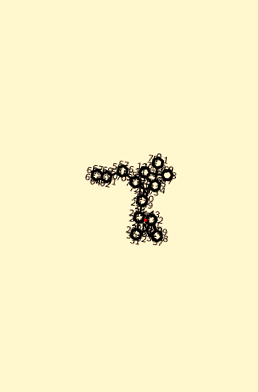 c1ccc(C2(c3ccccc3)c3ccccc3-c3c(N(c4ccc(-c5ccc(-c6ccccc6-n6c7ccccc7c7ccccc76)cc5)cc4)c4ccc(-c5cccc(-c6ccc7ccccc7c6)c5)cc4)cccc32)cc1